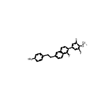 CCCCc1ccc(CCc2ccc3c(F)c(-c4cc(F)c(OC(F)(F)F)c(F)c4)ccc3c2)cc1